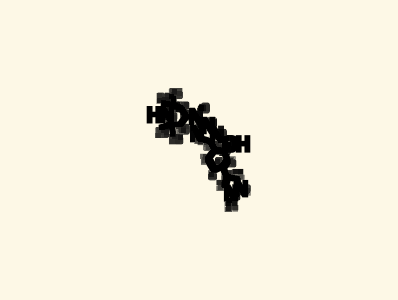 CN(c1ncc(-c2ccc(-c3cnn(C)c3)cc2O)nn1)C1CC(C)(C)NC(C)(C)C1